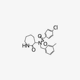 Cc1cccc(CN(C2CCCCNC2=O)S(=O)(=O)c2ccc(Cl)cc2)c1